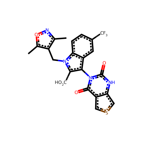 Cc1noc(C)c1Cn1c(C(=O)O)c(-n2c(=O)[nH]c3cscc3c2=O)c2cc(C(F)(F)F)ccc21